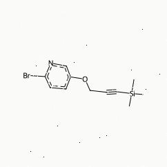 C[Si](C)(C)C#CCOc1ccc(Br)nc1